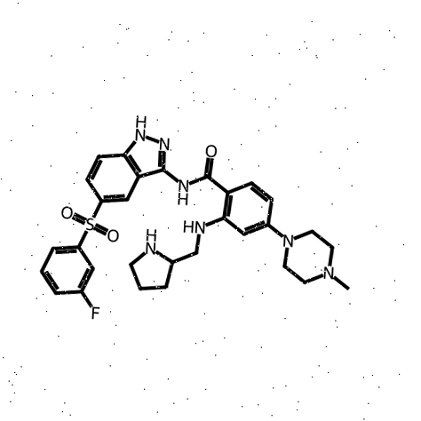 CN1CCN(c2ccc(C(=O)Nc3n[nH]c4ccc(S(=O)(=O)c5cccc(F)c5)cc34)c(NCC3CCCN3)c2)CC1